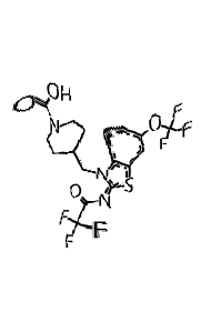 O=C(O)N1CCC(Cn2c(=NC(=O)C(F)(F)F)sc3cc(OC(F)(F)F)ccc32)CC1